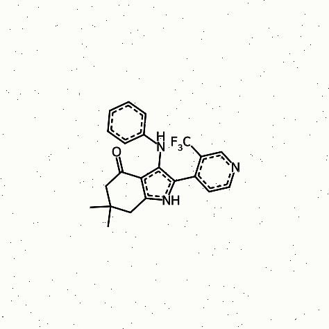 CC1(C)CC(=O)c2c([nH]c(-c3ccncc3C(F)(F)F)c2Nc2ccccc2)C1